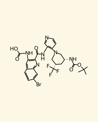 CC(C)(C)OC(=O)N[C@@H]1C[C@H](C(F)(F)F)CN(c2ccncc2NC(=O)c2nc3cc(Br)ccc3cc2NC(=O)O)C1